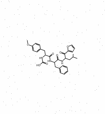 COc1ccc(CC(NC(=O)O)C(=O)NC(Cc2ccccc2)C(=O)NC(CC(C)C)C(=O)c2ccco2)cc1